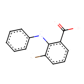 O=C(O)c1cccc(Br)c1Nc1ccccc1